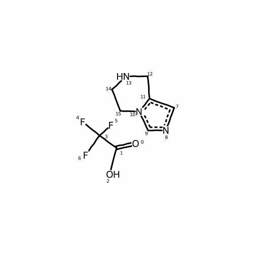 O=C(O)C(F)(F)F.c1ncn2c1CNCC2